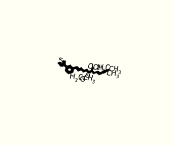 CC(C)(C)C#C/C=C/CC(C(=O)O)C(=O)CCC/C=C/c1cccc(-c2ccsc2)c1.COC